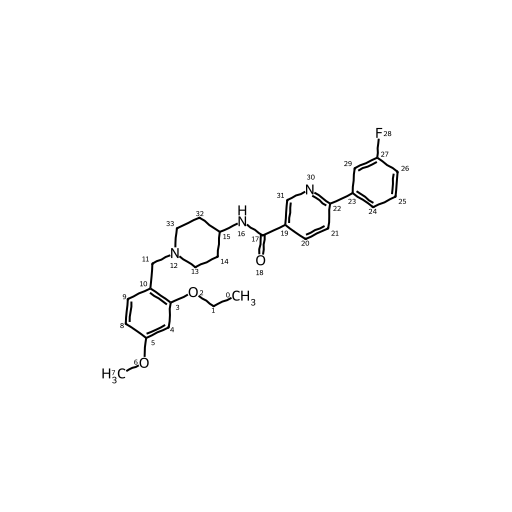 CCOc1cc(OC)ccc1CN1CCC(NC(=O)c2ccc(-c3cccc(F)c3)nc2)CC1